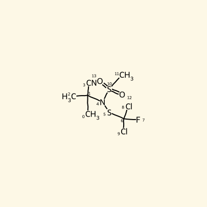 CC(C)(C#N)N(SC(F)(Cl)Cl)S(C)(=O)=O